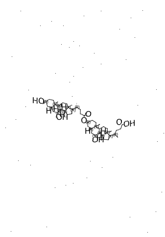 C[C@H](CCC(=O)O)[C@H]1CC[C@H]2[C@H]3C(CC[C@]12C)[C@@]1(C)CC[C@@H](OC(=O)CC[C@@H](C)[C@H]2CC[C@H]4[C@@H]5[C@@H](O)C[C@@H]6C[C@H](O)CC[C@]6(C)[C@H]5CC[C@]24C)C[C@H]1C[C@@H]3O